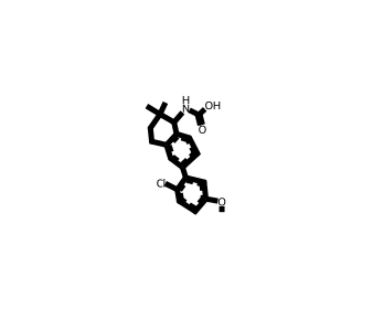 COc1ccc(Cl)c(-c2ccc3c(c2)CCC(C)(C)C3NC(=O)O)c1